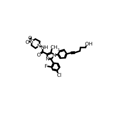 Cc1c(C(=O)NN2CCS(=O)(=O)CC2)nc(-c2ccc(Cl)cc2F)n1-c1ccc(C#CCCCO)cc1